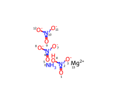 N.O=[N+]([O-])O.O=[N+]([O-])[O-].O=[N+]([O-])[O-].[Mg+2]